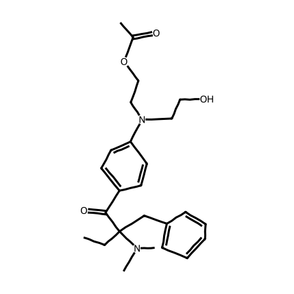 CCC(Cc1ccccc1)(C(=O)c1ccc(N(CCO)CCOC(C)=O)cc1)N(C)C